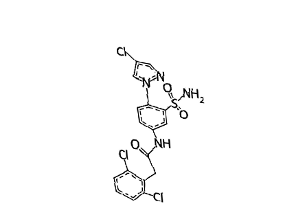 NS(=O)(=O)c1cc(NC(=O)Cc2c(Cl)cccc2Cl)ccc1-n1cc(Cl)cn1